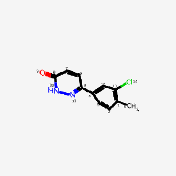 Cc1ccc(-c2ccc(=O)[nH]n2)cc1Cl